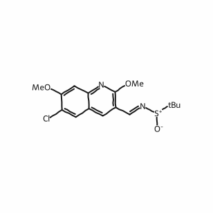 COc1cc2nc(OC)c(/C=N/[S+]([O-])C(C)(C)C)cc2cc1Cl